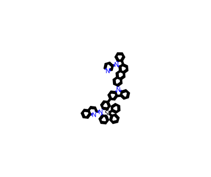 c1ccc([Si]2(c3ccccc3)c3ccccc3N(c3ccc4ccccc4n3)c3ccc(-c4ccc5c(c4)c4ccccc4n5-c4ccc5cc6c(ccc7c8ccccc8n(-c8cccnc8)c67)cc5c4)cc32)cc1